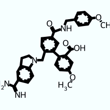 COc1ccc(CNC(=O)c2ccc(CN3CCc4cc(C(=N)N)ccc43)c(-c3ccc(OC)cc3C(=O)O)c2)cc1